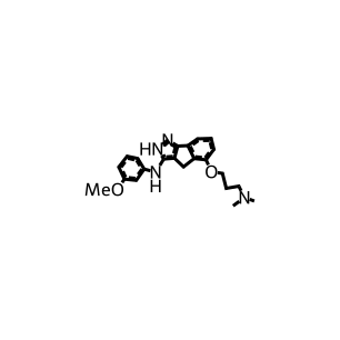 COc1cccc(Nc2[nH]nc3c2Cc2c(OCCCN(C)C)cccc2-3)c1